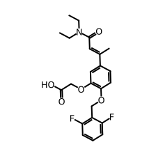 CCN(CC)C(=O)C=C(C)c1ccc(OCc2c(F)cccc2F)c(OCC(=O)O)c1